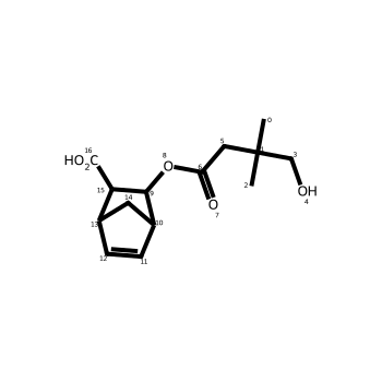 CC(C)(CO)CC(=O)OC1C2C=CC(C2)C1C(=O)O